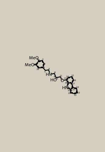 COc1ccc(CCNCC(O)COc2cccc3c2[nH]c2ccccc23)cc1OC